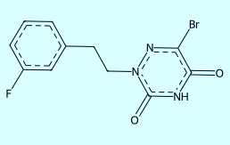 O=c1[nH]c(=O)n(CCc2cccc(F)c2)nc1Br